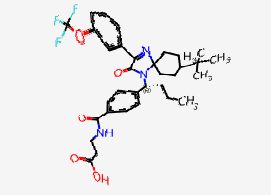 CCC[C@H](c1ccc(C(=O)NCCC(=O)O)cc1)N1C(=O)C(c2cccc(OC(F)(F)F)c2)=NC12CCC(C(C)(C)C)CC2